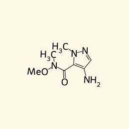 CON(C)C(=O)c1c(N)cnn1C